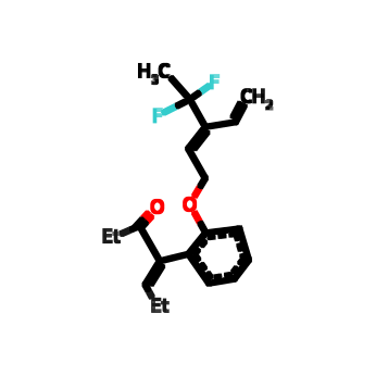 C=C/C(=C\COc1ccccc1/C(=C\CC)C(=O)CC)C(C)(F)F